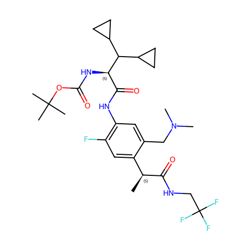 C[C@H](C(=O)NCC(F)(F)F)c1cc(F)c(NC(=O)[C@@H](NC(=O)OC(C)(C)C)C(C2CC2)C2CC2)cc1CN(C)C